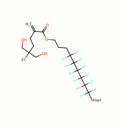 C=C(CCC(CC)(CO)CO)C(=O)OCCCC(F)(F)C(F)(F)C(F)(F)C(F)(F)C(F)(F)C(F)(F)CCCCCCC